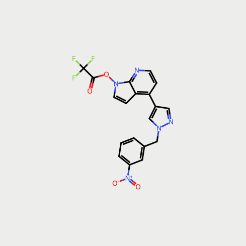 O=C(On1ccc2c(-c3cnn(Cc4cccc([N+](=O)[O-])c4)c3)ccnc21)C(F)(F)F